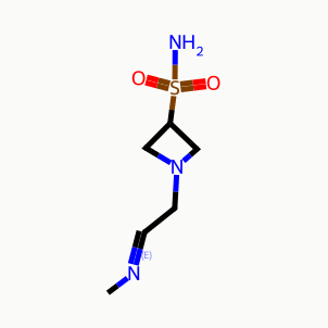 C/N=C/CN1CC(S(N)(=O)=O)C1